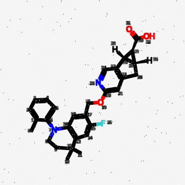 Cc1ccccc1N1CCC(C)(C)c2cc(F)c(COc3cc4c(cn3)[C@H]3[C@@H](C4)[C@@H]3C(=O)O)cc21